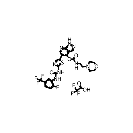 O=C(Nc1ncc(-c2cnc3[nH]ncc3c2OC(=O)NCCN2CCOCC2)s1)Nc1cc(C(F)(F)F)ccc1F.O=C(O)C(F)(F)F